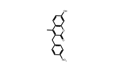 Cc1c(Cc2ccc([N+](=O)[O-])cc2)c(=O)oc2cc(O)ccc12